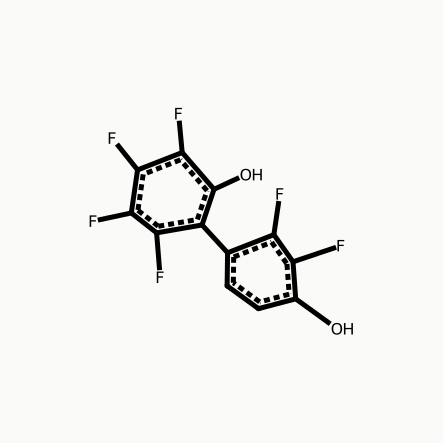 Oc1ccc(-c2c(O)c(F)c(F)c(F)c2F)c(F)c1F